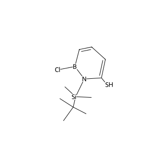 CC(C)(C)[Si](C)(C)N1B(Cl)C=CC=C1S